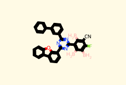 Bc1c(B)c(-c2nc(-c3cccc(-c4ccccc4)c3)nc(-c3cccc4c3oc3ccccc34)n2)c(B)c(C#N)c1F